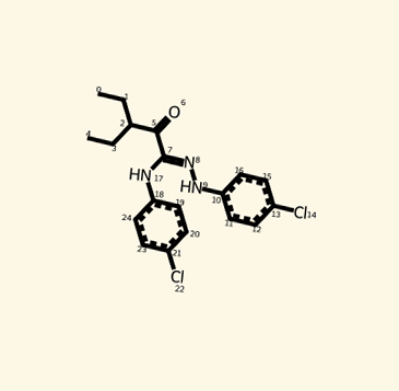 CCC(CC)C(=O)/C(=N/Nc1ccc(Cl)cc1)Nc1ccc(Cl)cc1